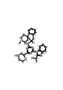 CN1CCC(c2ccccc2CC(C)(C)Nc2nc(C3CNCCO3)nc(-n3c(C(F)F)nc4ccccc43)n2)CC1